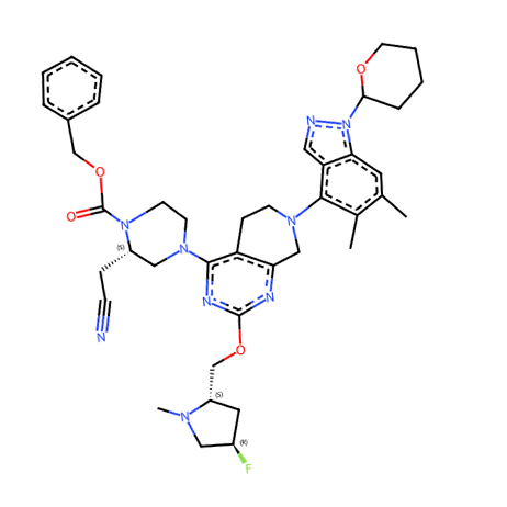 Cc1cc2c(cnn2C2CCCCO2)c(N2CCc3c(nc(OC[C@@H]4C[C@@H](F)CN4C)nc3N3CCN(C(=O)OCc4ccccc4)[C@@H](CC#N)C3)C2)c1C